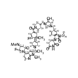 CNc1cc(=O)n(-c2ccnc3c2cc([C@H](C)N2CC=C(c4c(C)cc(C(=O)N5CCC(CN6CCN(Cc7ccc8c(c7)n(C7CC7)c(=O)n8[C@H]7CCC(=O)NC7=O)C[C@@H]6C)CC5)cc4F)CC2)n3C)cc1F